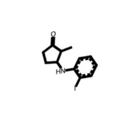 CC1C(=O)CCC1Nc1ccccc1I